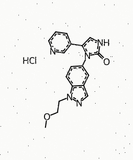 COCCn1ncc2cc(-n3c(-c4cccnc4)c[nH]c3=O)ccc21.Cl